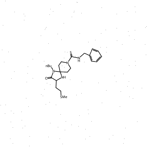 CCCCN1C(=O)C(CCSC)NC12CCN(C(=S)NCc1ccccc1)CC2